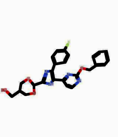 OCC1COC(c2nc(-c3ccc(F)cc3)c(-c3ccnc(OCc4ccccc4)n3)[nH]2)OC1